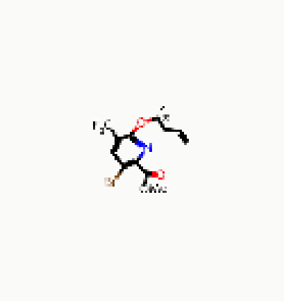 C=CC[C@@H](C)Oc1nc(C(=O)OC)c(Br)cc1C(F)(F)F